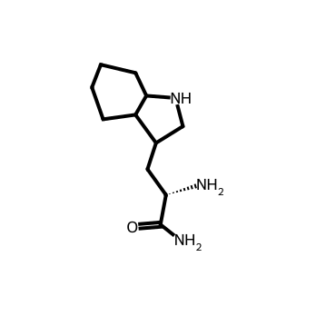 NC(=O)[C@@H](N)CC1CNC2CCCCC12